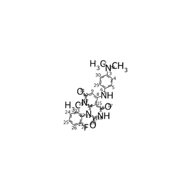 CN(C)c1ccc(Nc2cc(=O)n(C)c3c2c(=O)[nH]c(=O)n3-c2ccccc2F)cc1